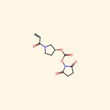 C=CC(=O)N1CC[C@H](OC(=O)ON2C(=O)CCC2=O)C1